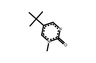 Cn1cc(C(C)(C)C)cnc1=O